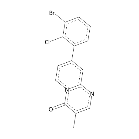 Cc1cnc2cc(-c3cccc(Br)c3Cl)ccn2c1=O